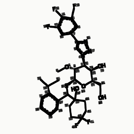 CO[C@@H]1[C@@H](n2cc(-c3cc(F)c(F)c(F)c3)nn2)[C@@H](O)[C@@H](CO)O[C@H]1SC(c1ccccc1C(C)C)C1(O)CCC(F)(F)CC1